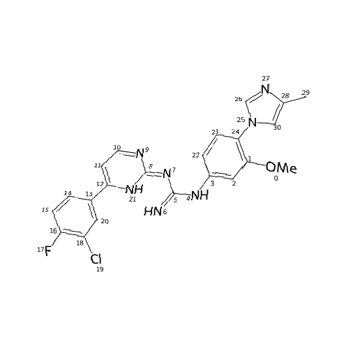 COc1cc(NC(=N)/N=c2/nccc(-c3ccc(F)c(Cl)c3)[nH]2)ccc1-n1cnc(C)c1